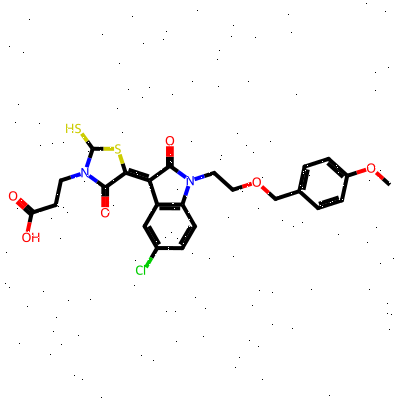 COc1ccc(COCCN2C(=O)/C(=C3\SC(S)N(CCC(=O)O)C3=O)c3cc(Cl)ccc32)cc1